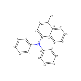 Cc1ccc(N(c2ccccc2)c2ccccc2)c2ccccc12